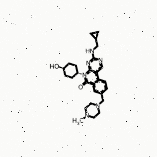 CN1CCN(Cc2ccc3c(c2)c(=O)n([C@H]2CC[C@H](O)CC2)c2nc(NCC4CC4)ncc32)CC1